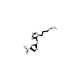 COCCCn1nnnc1Sc1ncc([N+](=O)[O-])s1